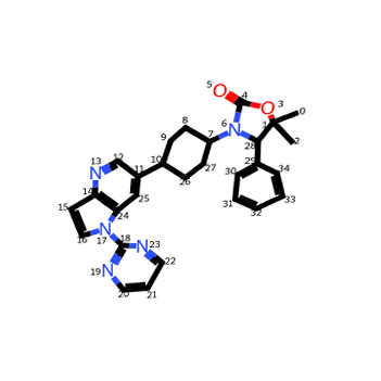 CC1(C)OC(=O)N(C2CCC(c3cnc4ccn(-c5ncccn5)c4c3)CC2)C1c1ccccc1